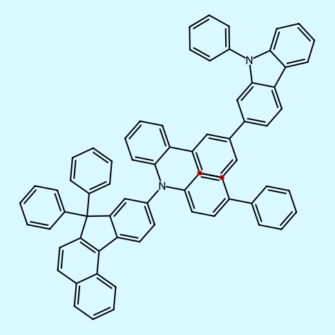 c1ccc(-c2ccc(N(c3ccc4c(c3)C(c3ccccc3)(c3ccccc3)c3ccc5ccccc5c3-4)c3ccccc3-c3cccc(-c4ccc5c6ccccc6n(-c6ccccc6)c5c4)c3)cc2)cc1